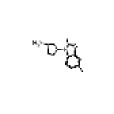 Cc1ccc2c(c1)nc(C)n2C1CCC(N)C1